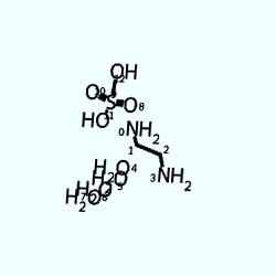 NCCN.O.O.O.O.O=S(=O)(O)O